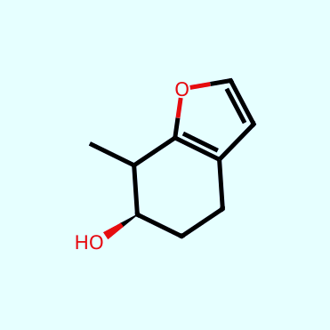 CC1c2occc2CC[C@H]1O